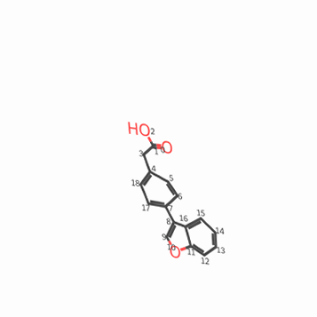 O=C(O)Cc1ccc(-c2coc3ccccc23)cc1